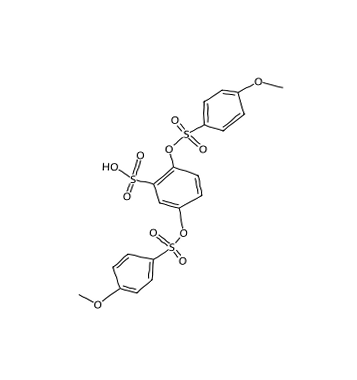 COc1ccc(S(=O)(=O)Oc2ccc(OS(=O)(=O)c3ccc(OC)cc3)c(S(=O)(=O)O)c2)cc1